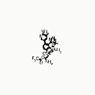 Cc1cc(-c2ccc(S(=O)(=O)CC(N)OC(=O)C(F)(F)F)c(S(N)(=O)=O)c2-c2nnn[nH]2)cnc1N